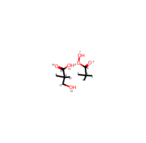 CC(C)(C)C(=O)OO.CC(C)(CO)C(=O)O